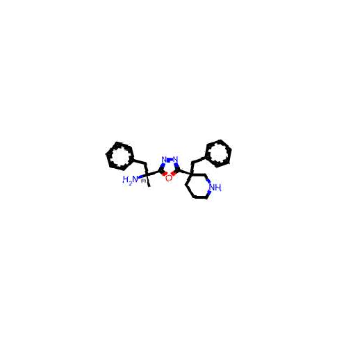 C[C@@](N)(Cc1ccccc1)c1nnc(C2(Cc3ccccc3)CCCNC2)o1